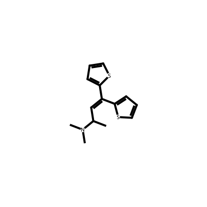 CC(C=C(c1cccs1)c1cccs1)N(C)C